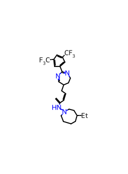 C=C(/C=C\CC1C=NC(c2cc(C(F)(F)F)cc(C(F)(F)F)c2)=NCC1)NN1CCCCC(CC)CC1